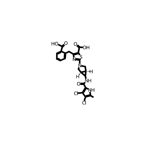 Cc1[nH]c(C(=O)NC2[C@H]3CN(c4nc(Cc5ccccc5C(=O)O)c(C(=O)O)s4)C[C@@H]23)c(Cl)c1Cl